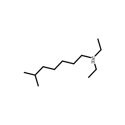 CC[SiH](CC)CCCCCC(C)C